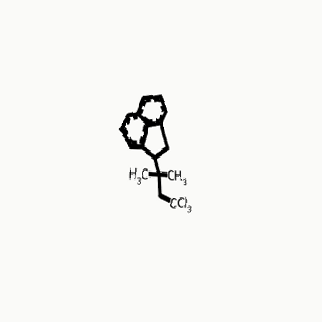 CC(C)(CC(Cl)(Cl)Cl)C1Cc2cccc3cccc1c23